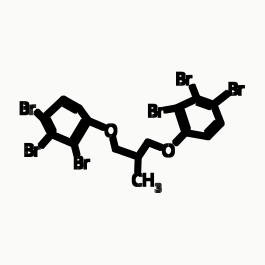 CC(COc1ccc(Br)c(Br)c1Br)COc1ccc(Br)c(Br)c1Br